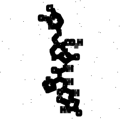 O=C1CN(NC(=O)NC(C(=O)N[C@H]2C(=O)N3C(C(=O)O)=C(CSc4ccc(Cl)[n+]([O-])n4)CSC23)c2cccs2)C(=O)N1